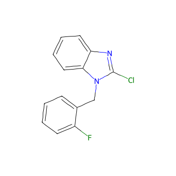 Fc1ccccc1Cn1c(Cl)nc2ccccc21